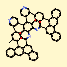 Cc1ccc(-c2c3ccccc3cc3c2c(-c2ccc4c(-c5ccncc5)c(-c5ccncc5)c5ccc(-c6cc7ccccc7c7cc8ccccc8c(-c8ccc(C)cc8C)c67)nc5c4n2)cc2ccccc23)c(C)c1